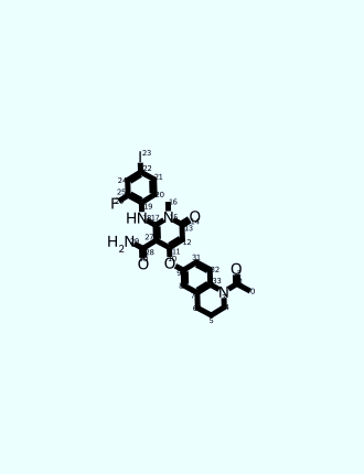 CC(=O)N1CCCc2cc(Oc3cc(=O)n(C)c(Nc4ccc(I)cc4F)c3C(N)=O)ccc21